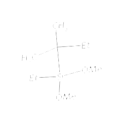 CCC(C)(C)[Si](CC)(OC)OC